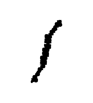 C=CC(=O)OCCOCCOCCOc1ccc(C(=O)Oc2ccc(C(=O)Oc3ccc(-c4ccc(C(=O)OCCOCCOCCOC(=O)CC)cc4)cc3)cc2)cc1